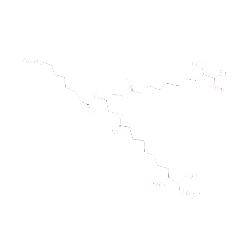 CCCCCCCCCCCCCCCCC(=O)OC(COC(=O)CCCCCCCC(O)C(O)CC)COC(=O)CCCCCCCC(O)C(O)CCCCCCC